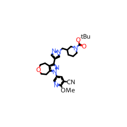 COc1ncc(-n2nc(-c3cnn(CC4CCCN(C(=O)OC(C)(C)C)C4)c3)c3c2CCOCC3)cc1C#N